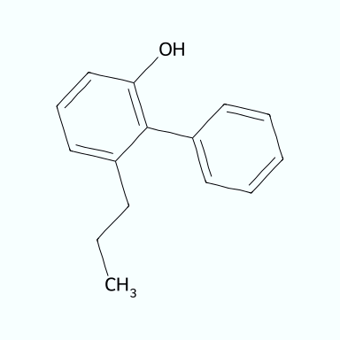 CCCc1cccc(O)c1-c1ccccc1